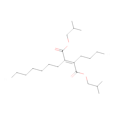 CCCCCCCC(C(=O)OCC(C)C)=C(CCCC)C(=O)OCC(C)C